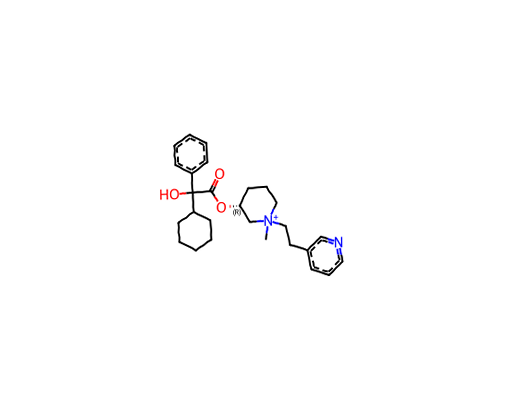 C[N+]1(CCc2cccnc2)CCC[C@@H](OC(=O)C(O)(c2ccccc2)C2CCCCC2)C1